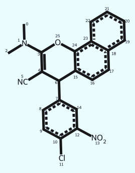 CN(C)C1=C(C#N)C(c2ccc(Cl)c([N+](=O)[O-])c2)c2ccc3ccccc3c2O1